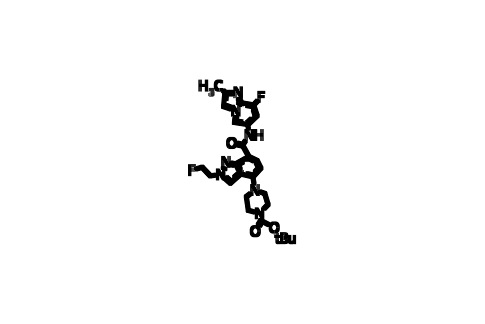 Cc1cn2cc(NC(=O)c3ccc(N4CCN(C(=O)OC(C)(C)C)CC4)c4cn(CCF)nc34)cc(F)c2n1